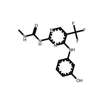 CNC(=O)Nc1ncc(C(F)(F)F)c(Nc2cccc(O)c2)n1